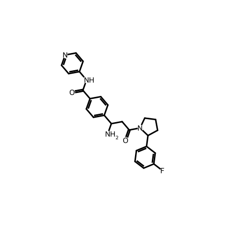 NC(CC(=O)N1CCCC1c1cccc(F)c1)c1ccc(C(=O)Nc2ccncc2)cc1